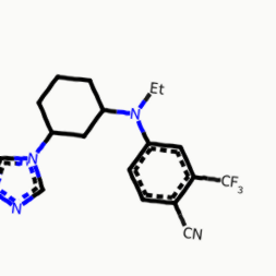 CCN(c1ccc(C#N)c(C(F)(F)F)c1)C1CCCC(n2cnnc2)C1